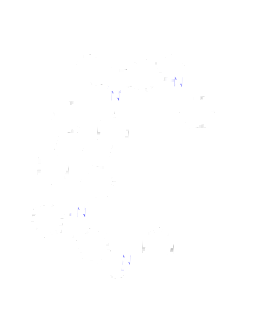 c1ccc(-n2ccc3cc4c5ccccc5n(-c5ccc6c(c5)C5(c7ccccc7-c7ccccc75)c5cc(-n7c8ccccc8c8cc9ccn(-c%10ccccc%10)c9cc87)ccc5-6)c4cc32)cc1